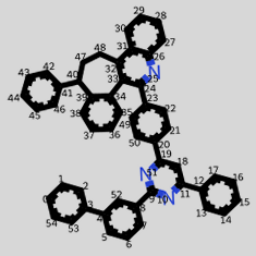 c1ccc(-c2cccc(-c3nc(-c4ccccc4)cc(-c4ccc(-c5nc6ccccc6c6c5-c5ccccc5C(c5ccccc5)CC6)cc4)n3)c2)cc1